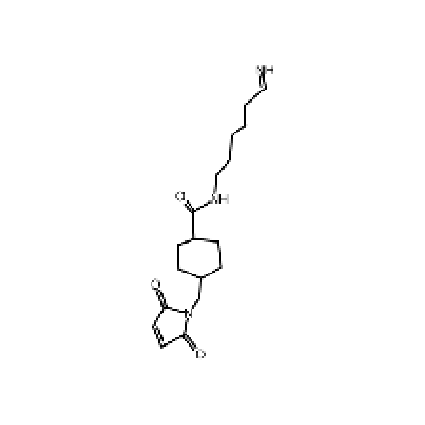 N=CCCCCCNC(=O)C1CCC(CN2C(=O)C=CC2=O)CC1